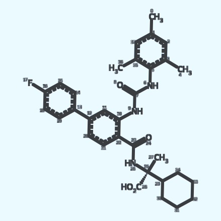 Cc1cc(C)c(NC(=O)Nc2cc(-c3ccc(F)cc3)ccc2C(=O)N[C@](C)(C(=O)O)C2CCCCC2)c(C)c1